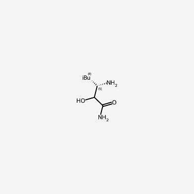 CC[C@@H](C)[C@H](N)C(O)C(N)=O